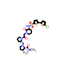 CN(C)C(=O)[C@@H]1CCCN1C[C@@H]1CCCN1C(=O)CN1CCC[C@H](NS(=O)(=O)c2ccc(-c3ccc(Cl)s3)s2)C1=O